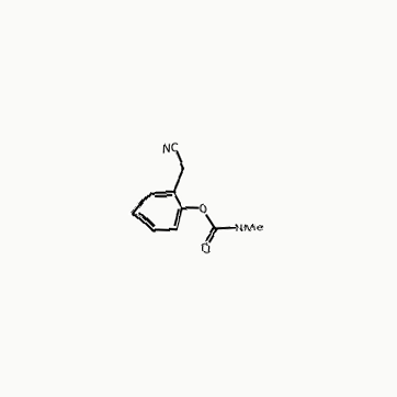 CNC(=O)Oc1ccccc1CC#N